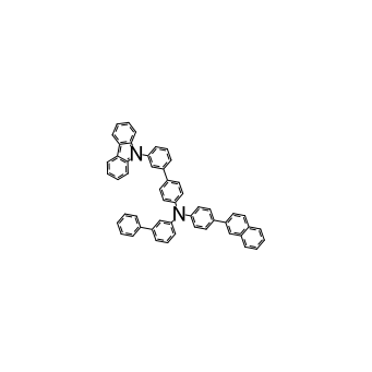 c1ccc(-c2cccc(N(c3ccc(-c4cccc(-n5c6ccccc6c6ccccc65)c4)cc3)c3ccc(-c4ccc5ccccc5c4)cc3)c2)cc1